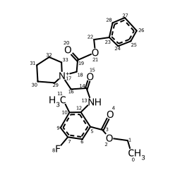 CCOC(=O)c1cc(F)cc(C)c1NC(=O)C[N+]1(CC(=O)OCc2ccccc2)CCCCC1